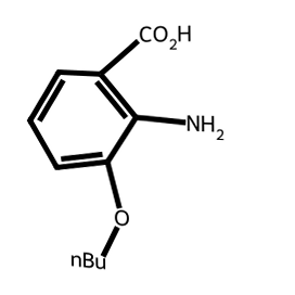 CCCCOc1cccc(C(=O)O)c1N